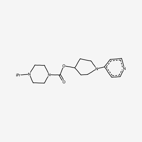 CC(C)N1CCN(C(=O)OC2CCN(c3ccncc3)CC2)CC1